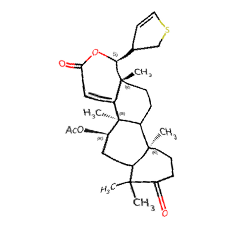 CC(=O)O[C@@H]1CC2C(C)(C)C(=O)CC[C@]2(C)C2CC[C@]3(C)C(=CC(=O)O[C@H]3C3C=CSC3)[C@@]21C